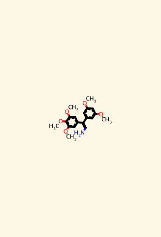 COc1cc(OC)cc(C(=CN)c2cc(OC)c(OC)c(OC)c2)c1